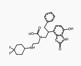 O=C(O)N(CCNC1CCC(F)(F)CC1)CC(Cc1ccccc1)c1ccc(O)c2[nH]c(=O)sc12